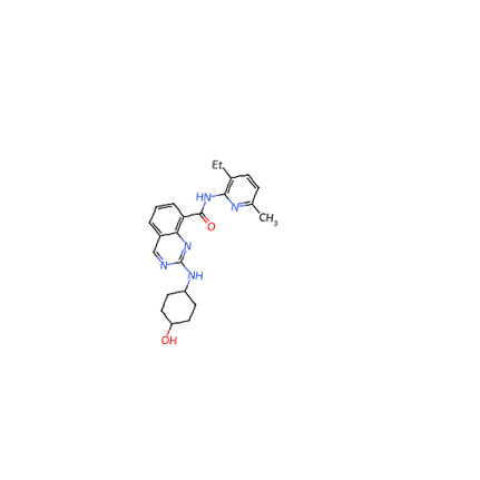 CCc1ccc(C)nc1NC(=O)c1cccc2cnc(NC3CCC(O)CC3)nc12